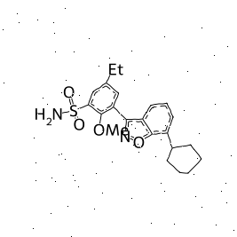 CCc1cc(-c2noc3c(C4CCCCC4)cccc23)c(OC)c(S(N)(=O)=O)c1